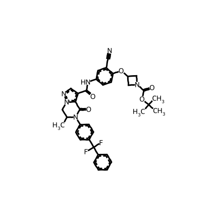 CC1Cn2ncc(C(=O)Nc3ccc(OC4CN(C(=O)OC(C)(C)C)C4)c(C#N)c3)c2C(=O)N1c1ccc(C(F)(F)c2ccccc2)cc1